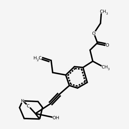 C=CCc1cc(C(C)CC(=O)OCC)ccc1C#CC1(O)CN2CCC1CC2